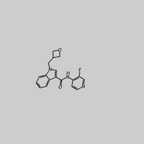 O=C(Nc1ccncc1F)c1cn(CC2COC2)c2ccccc12